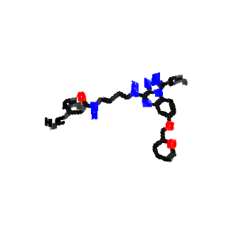 Cc1nnc2c(NCCCCNC(=O)CC(C)C)nc3cc(OCC4CCCCO4)ccc3n12